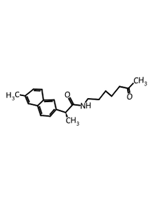 CC(=O)CCCCCNC(=O)[C@@H](C)c1ccc2cc(C)ccc2c1